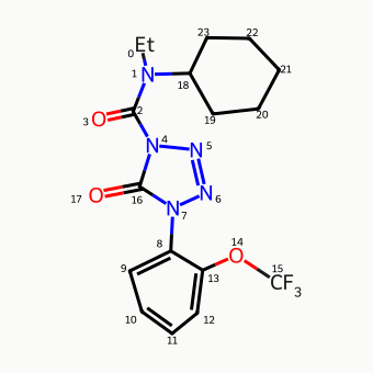 CCN(C(=O)n1nnn(-c2ccccc2OC(F)(F)F)c1=O)C1CCCCC1